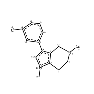 CC(=O)N1CCc2c(c(-c3cccc(Cl)c3)nn2C)C1